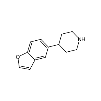 c1cc2cc(C3CCNCC3)ccc2o1